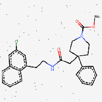 CC(C)(C)OC(=O)N1CCC(CC(=O)NCCc2cc(Cl)cc3ccccc23)(c2ccccc2)CC1